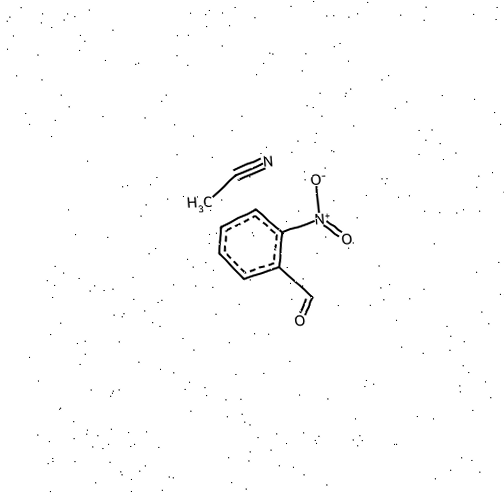 CC#N.O=Cc1ccccc1[N+](=O)[O-]